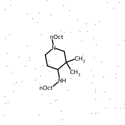 CCCCCCCCNC1CCN(CCCCCCCC)CC1(C)C